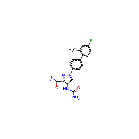 Cc1cc(F)ccc1-c1ccc(-n2cc(NC(N)=O)c(C(N)=O)n2)cc1